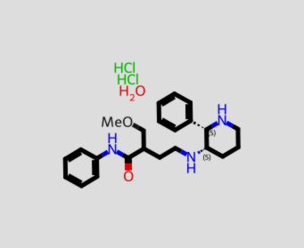 COCC(CCN[C@H]1CCCN[C@H]1c1ccccc1)C(=O)Nc1ccccc1.Cl.Cl.O